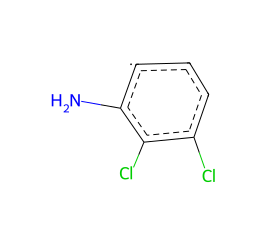 Nc1[c]ccc(Cl)c1Cl